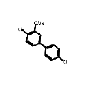 COc1cc(-c2ccc(Cl)cc2)ccc1Cl